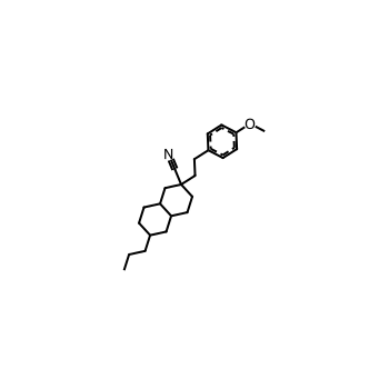 CCCC1CCC2CC(C#N)(CCc3ccc(OC)cc3)CCC2C1